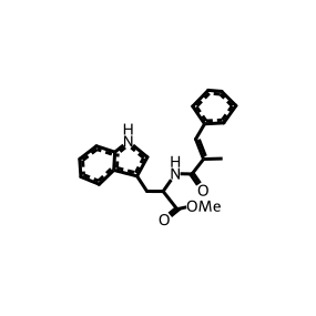 COC(=O)C(Cc1c[nH]c2ccccc12)NC(=O)C(C)=Cc1ccccc1